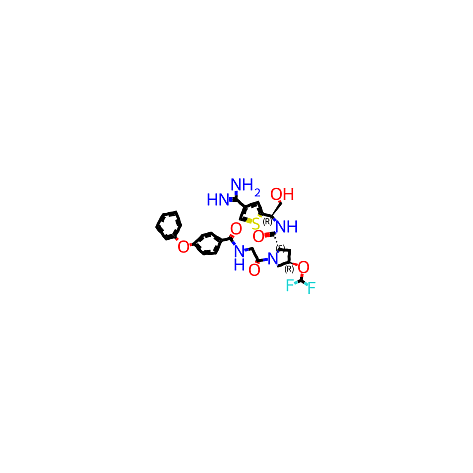 N=C(N)c1csc([C@@H](CO)NC(=O)[C@@H]2C[C@@H](OC(F)F)CN2C(=O)CNC(=O)c2ccc(Oc3ccccc3)cc2)c1